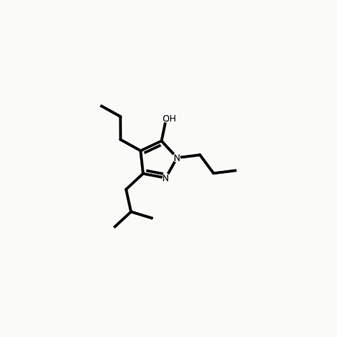 CCCc1c(CC(C)C)nn(CCC)c1O